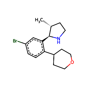 C[C@@H]1CCN[C@H]1c1cc(Br)ccc1C1CCOCC1